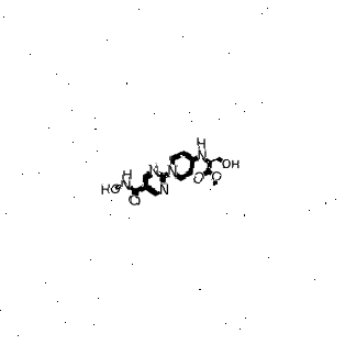 COC(=O)[C@H](CO)NC1CCN(c2ncc(C(=O)NO)cn2)CC1